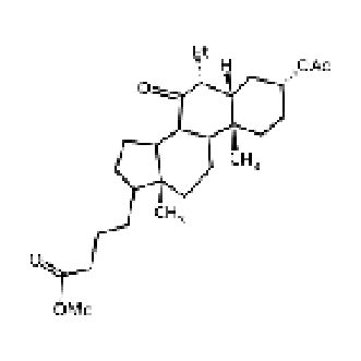 CC[C@H]1C(=O)C2C3CCC(CCCC(=O)OC)[C@@]3(C)CCC2[C@@]2(C)CC[C@@H](OC(C)=O)C[C@@H]12